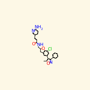 Cc1onc(-c2ccccc2)c1-c1cc(Cl)c2c(c1)CC(CNC(=O)C=Cc1ccc(N)nc1)O2